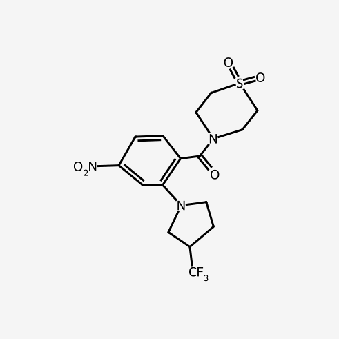 O=C(c1ccc([N+](=O)[O-])cc1N1CCC(C(F)(F)F)C1)N1CCS(=O)(=O)CC1